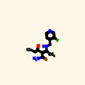 C/C(NCc1ccncc1F)=C(/C(=O)CC(C)(C)C)C(N)=S